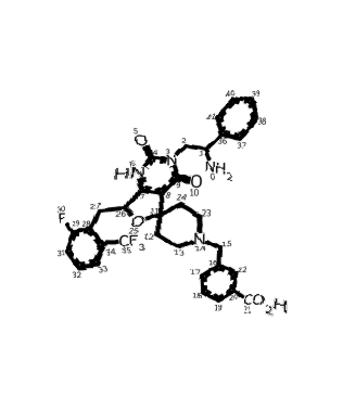 NC(Cn1c(=O)[nH]c2c(c1=O)C1(CCN(Cc3cccc(C(=O)O)c3)CC1)OC2Cc1c(F)cccc1C(F)(F)F)c1ccccc1